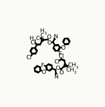 CC1(C)C(/C=C(\Cl)c2ccc(Cl)cc2)C1C(=O)OC(C#N)c1ccc(F)c(Oc2ccccc2)c1.CC1(C)C(C=C(Cl)Cl)C1C(=O)OC(C#N)c1ccc(F)c(Oc2ccccc2)c1